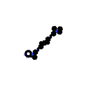 C=C1/C=C\C=C/C/C=C\C=C/1n1c2ccccc2c2cc(/C=C/c3ccc4c(c3)C(C)(C)c3cc5c(cc3-4)C(C)(C)c3cc(/C=C/c4ccc6c(c4)c4ccccc4n6-c4cccc6ccccc46)ccc3-5)ccc21